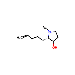 C=CCCC[C@H]1[C@H](O)CCN1C(C)=O